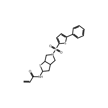 C=CC(=O)NC1CC2CN(S(=O)(=O)c3ccc(-c4ccccc4)s3)CC2S1